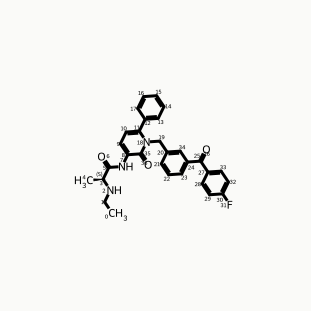 CCN[C@@H](C)C(=O)Nc1ccc(-c2ccccc2)n(Cc2cccc(C(=O)c3ccc(F)cc3)c2)c1=O